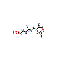 CC1=COB(I)SC1C/C=C(\C)CCCO